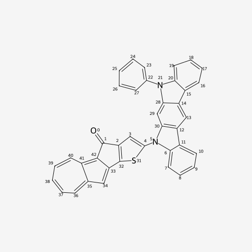 O=C1c2cc(-n3c4ccccc4c4cc5c6ccccc6n(-c6ccccc6)c5cc43)sc2-c2cc3cccccc-3c21